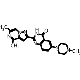 Cc1cn2nc(-c3nc4ccc(N5CCN(C)CC5)cc4c(=O)[nH]3)cc2c(C)n1